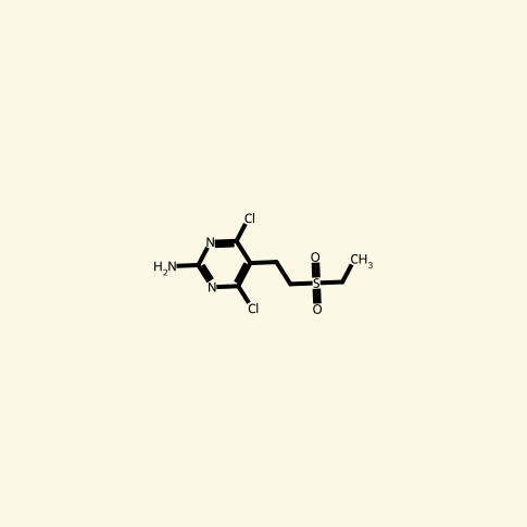 CCS(=O)(=O)CCc1c(Cl)nc(N)nc1Cl